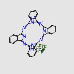 [F][Fe]([F])([F])([F])([F])([F])([F])([F])[c]1cccc2c3nc4nc(nc5[nH]c(nc6nc(nc([nH]3)c12)-c1ccccc1-6)c1ccccc51)-c1ccccc1-4